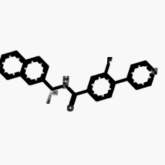 C[C@@H](NC(=O)c1ccc(-c2ccncc2)c(F)c1)c1ccc2ccccc2c1